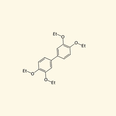 CCOc1ccc(-c2ccc(OCC)c(OCC)c2)cc1OCC